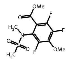 COC(=O)c1c(F)c(F)c(OC)c(F)c1N(C)S(C)(=O)=O